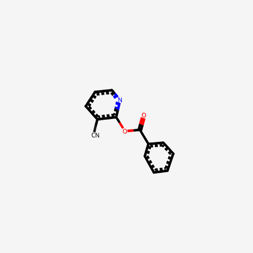 N#Cc1cc[c]nc1OC(=O)c1ccccc1